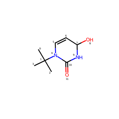 CC(C)(C)N1C=CC(O)NC1=O